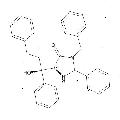 O=C1[C@H]([C@@](O)(CCc2ccccc2)c2ccccc2)NC(c2ccccc2)N1Cc1ccccc1